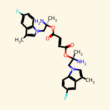 Cc1cn(C[C@@](C)(N)OC(=O)/C=C/C(=O)O[C@](C)(N)Cn2cc(C)c3cc(F)ccc32)c2ccc(F)cc12